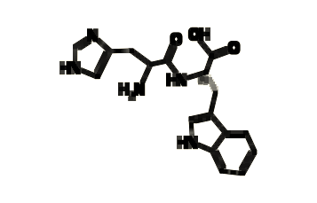 NC(Cc1c[nH]cn1)C(=O)N[C@@H](Cc1c[nH]c2ccccc12)C(=O)O